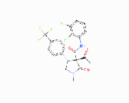 CC(=O)[C@@]1(C(=O)Nc2cccc(F)c2F)C(=O)N(C)C[C@@H]1c1ccc(C(F)(F)F)cc1